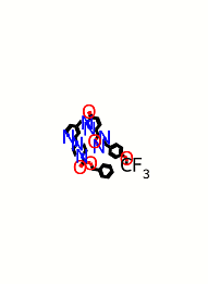 O=C(OCc1ccccc1)N1CCN(c2cc(Cn3nc(-c4nc(-c5ccc(OC(F)(F)F)cc5)no4)ccc3=O)ccn2)CC1